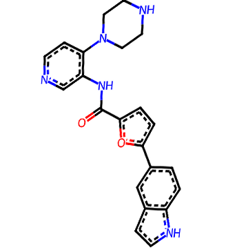 O=C(Nc1cnccc1N1CCNCC1)c1ccc(-c2ccc3[nH]ccc3c2)o1